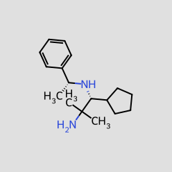 C[C@@H](N[C@H](C1CCCC1)C(C)(C)N)c1ccccc1